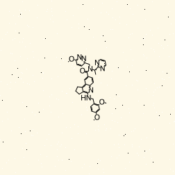 COc1ccc(CNc2nc3ccc(C(=O)N(Cc4ccc(OC)nn4)C(C)c4ncccn4)cc3c3c2CCC3)c(OC)c1